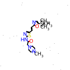 CN1CCN(CC(=O)Nc2ncc(/C=C/c3ncc([Si](C)(C)C)o3)s2)CC1